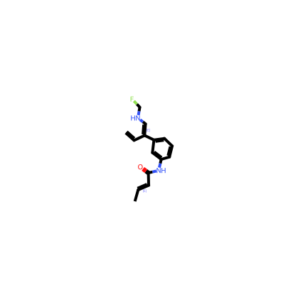 C=C/C(=C\NCF)c1cccc(NC(=O)/C=C/C)c1